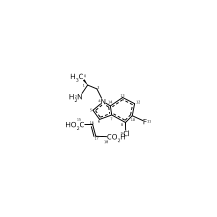 C[C@H](N)Cn1ccc2c(Cl)c(F)ccc21.O=C(O)C=CC(=O)O